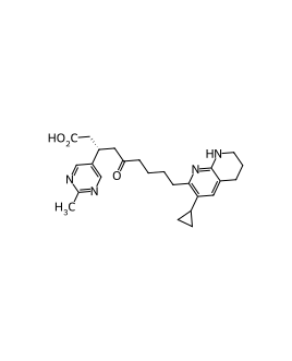 Cc1ncc([C@H](CC(=O)O)CC(=O)CCCCc2nc3c(cc2C2CC2)CCCN3)cn1